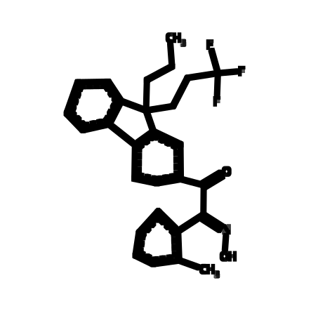 CCCC1(CCC(F)(F)F)c2ccccc2-c2ccc(C(=O)/C(=N/O)c3ccccc3C)cc21